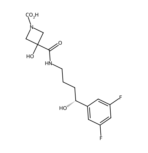 O=C(O)N1CC(O)(C(=O)NCCC[C@@H](O)c2cc(F)cc(F)c2)C1